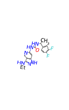 CCNc1n[nH]c2cc(NC(=O)NC(C)c3ccc(F)c(F)c3)ncc12